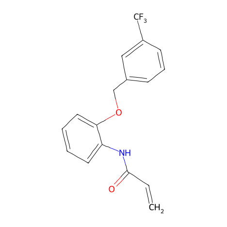 C=CC(=O)Nc1ccccc1OCc1cccc(C(F)(F)F)c1